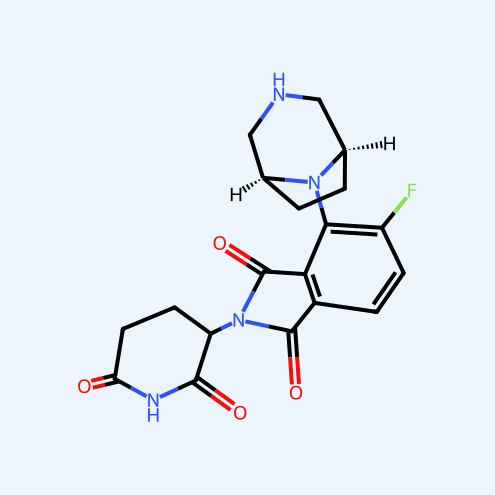 O=C1CCC(N2C(=O)c3ccc(F)c(N4[C@@H]5CC[C@H]4CNC5)c3C2=O)C(=O)N1